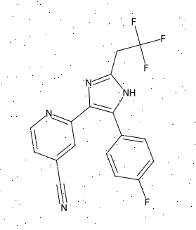 N#Cc1ccnc(-c2nc(CC(F)(F)F)[nH]c2-c2ccc(F)cc2)c1